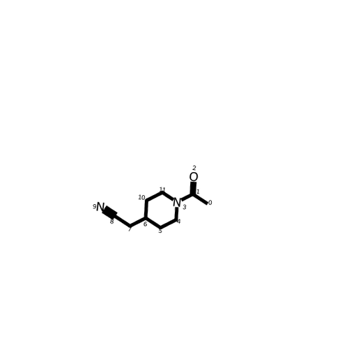 CC(=O)N1CCC(CC#N)CC1